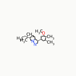 CCC(C)(C)c1ccc2c(-c3cc(C)c(C)c(OC)c3)cnn2c1